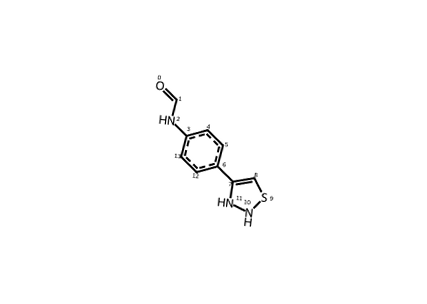 O=CNc1ccc(C2=CSNN2)cc1